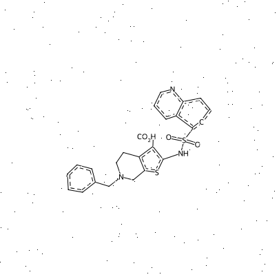 O=C(O)c1c(NS(=O)(=O)c2cccc3ncccc23)sc2c1CCN(Cc1ccccc1)C2